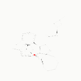 C[C@]1(O)C[C@@H](NC(=O)[C@@H]2NC3(CCCCCC3)[C@@]3(C(=O)Nc4cc(Cl)ccc43)[C@H]2c2cccc(Cl)c2F)C1